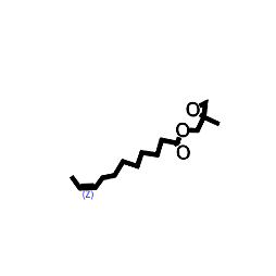 C/C=C\CCCCCCCC(=O)OCC1(C)CO1